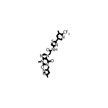 Cc1cc(Cn2c(=O)c3c(ncn3CC(=O)Nc3csc(-c4cnc(C(F)(F)F)c(C)c4)n3)n(C)c2=O)no1